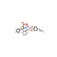 CCc1ccc(S(=O)(=O)N2CC(=O)N(c3cc(-c4ccccc4)sc3C(=O)O)C(C3CCCCC3)C2)cc1